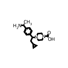 C[C@H](N)c1ccc(C(CC2CC2)N2CCN(C(=O)O)CC2)cc1